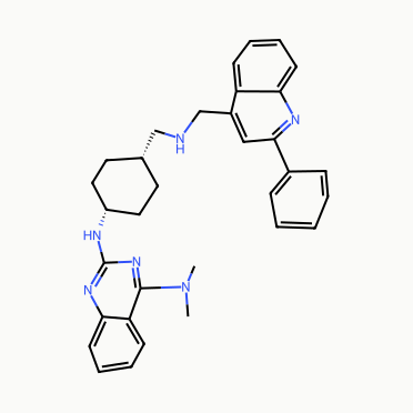 CN(C)c1nc(N[C@H]2CC[C@@H](CNCc3cc(-c4ccccc4)nc4ccccc34)CC2)nc2ccccc12